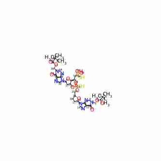 CC(C)(C)C(=O)OCn1cnc2c(ncn2C2CCC(COP(=O)(S)O[C@H]3CC(n4cnc5c(=O)n(COC(=O)C(C)(C)C)cnc54)OC3CCP(=O)(O)S)O2)c1=O